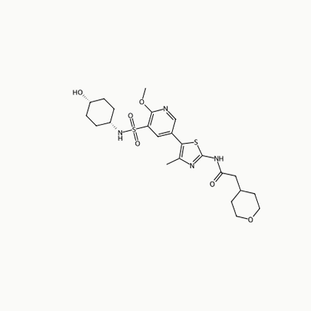 COc1ncc(-c2sc(NC(=O)CC3CCOCC3)nc2C)cc1S(=O)(=O)N[C@H]1CC[C@@H](O)CC1